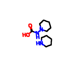 C1CCNCC1.O=C(O)NN1CCCCC1